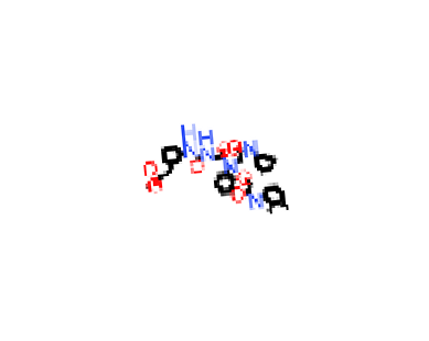 COC(=O)Cc1cccc(NC(=O)NCC(=O)N(CC(=O)N(C)c2ccccc2)c2ccccc2OCC(=O)N(C)c2cccc(C)c2C)c1